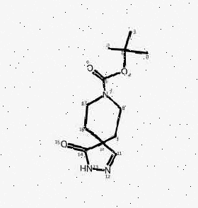 CC(C)(C)OC(=O)N1CCC2(C=NNC2=O)CC1